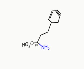 N[C@@H](CCC1C=CC#CC1)C(=O)O